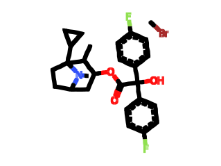 CBr.CC1C(OC(=O)C(O)(c2ccc(F)cc2)c2ccc(F)cc2)CC2CCC1(C1CC1)N2C